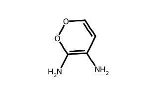 NC1=C(N)OOC=C1